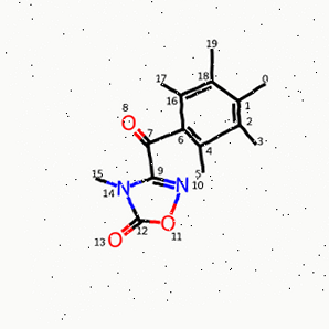 Cc1c(C)c(C)c(C(=O)c2noc(=O)n2C)c(C)c1C